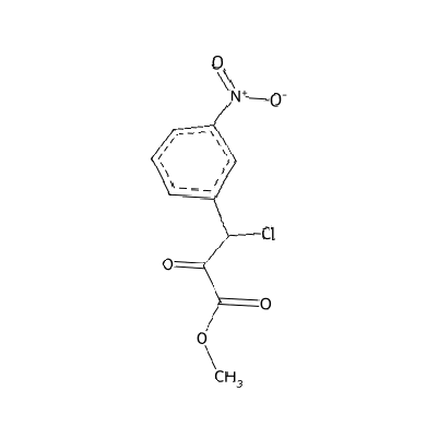 COC(=O)C(=O)C(Cl)c1cccc([N+](=O)[O-])c1